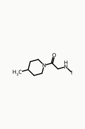 CC1CCN(C(=O)CNI)CC1